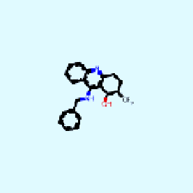 OC1c2c(nc3ccccc3c2NCc2ccccc2)CCC1C(F)(F)F